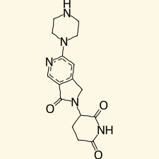 O=C1CCC(N2Cc3cc(N4CCNCC4)ncc3C2=O)C(=O)N1